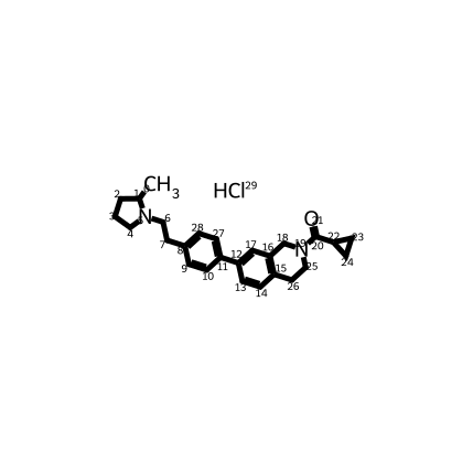 CC1CCCN1CCc1ccc(-c2ccc3c(c2)CN(C(=O)C2CC2)CC3)cc1.Cl